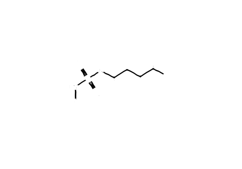 O=C(O)NS(=O)(=O)NCCCCO